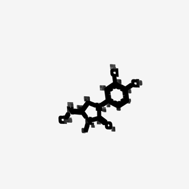 CN1C(=O)N(c2ccc(Cl)c(Cl)c2)C/C1=N/Cl